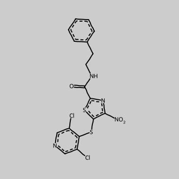 O=C(NCCc1ccccc1)c1nc([N+](=O)[O-])c(Sc2c(Cl)cncc2Cl)s1